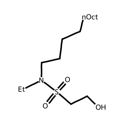 CCCCCCCCCCCCN(CC)S(=O)(=O)CCO